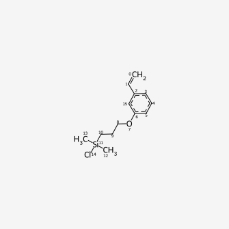 C=Cc1cccc(OCCC[Si](C)(C)Cl)c1